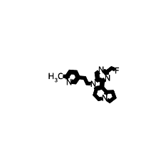 Cc1ccc(CCn2c3c(c4nc(CF)ncc42)C2CCCN2CC3)cn1